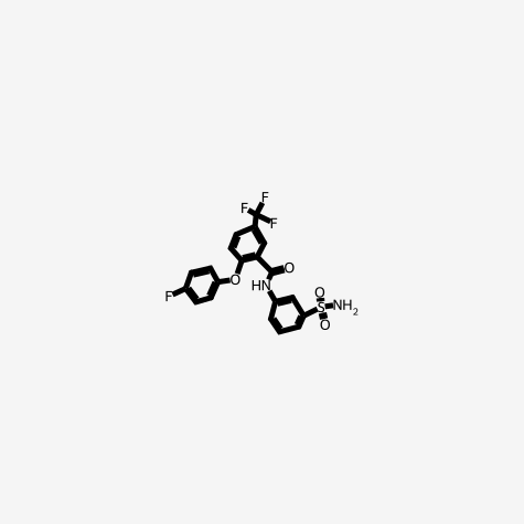 NS(=O)(=O)c1cccc(NC(=O)c2cc(C(F)(F)F)ccc2Oc2ccc(F)cc2)c1